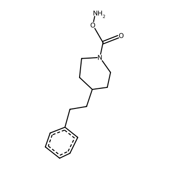 NOC(=O)N1CCC(CCc2ccccc2)CC1